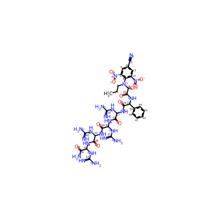 CCCN(c1c([N+](=O)[O-])cc(C#N)cc1[N+](=O)[O-])C(O)C(=O)NC(C(=O)NC(NC(=N)N)C(=O)NC(NC(=N)N)C(=O)NC(NC(=N)N)C(=O)NC(NC(=N)N)C(N)=O)c1ccccc1